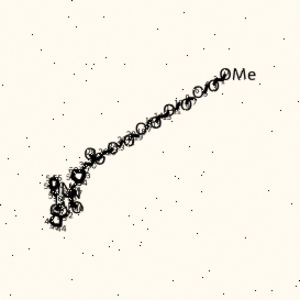 COCCOCCOCCOCCOCCOCCOCCOCCOCCOC(=O)/C=C/c1ccc(-c2nc3c(=O)n(CC4CCCC4)c(=O)n(CC4CCCC4)c3[nH]2)cc1